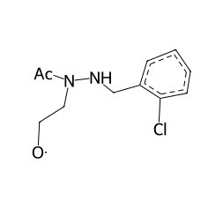 CC(=O)N(CC[O])NCc1ccccc1Cl